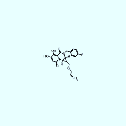 C=CCOC[C@@H]1[C@@H]2[C@H]1n1c(c(O)c(O)cc1=O)C(=O)N2Cc1ccc(F)cc1